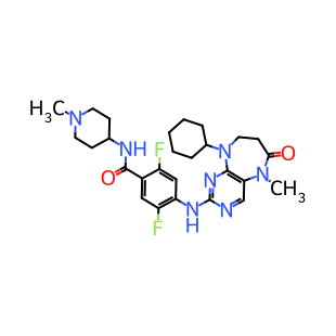 CN1CCC(NC(=O)c2cc(F)c(Nc3ncc4c(n3)N(C3CCCCC3)CCC(=O)N4C)cc2F)CC1